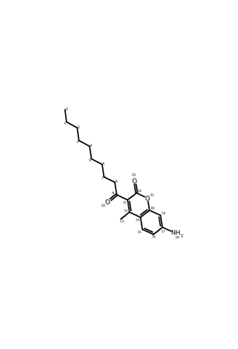 CCCCCCCCCC(=O)c1c(C)c2ccc(N)cc2oc1=O